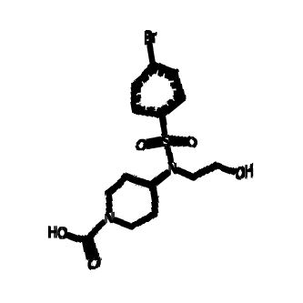 O=C(O)N1CCC(N(CCO)S(=O)(=O)c2ccc(Br)cc2)CC1